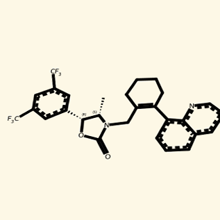 C[C@H]1[C@@H](c2cc(C(F)(F)F)cc(C(F)(F)F)c2)OC(=O)N1CC1=C(c2cccc3cccnc23)CCCC1